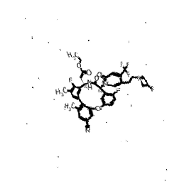 CCOC(=O)C[C@@H]1NC(=O)[C@@H](n2cc(CCN3CC(F)C3)c(C(F)(F)F)cc2=O)c2cc(ccc2F)Oc2cc(C#N)cc(C)c2-c2cc(C)c(F)c1c2